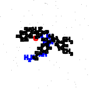 Cc1ccc(C[C@@H](N)CN2C[C@@H](C)N(C(=O)Cc3ccc4ccccc4c3)C[C@@H]2Cc2ccc(NCCN)cc2)c(C)c1